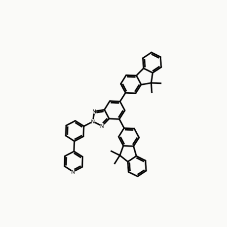 CC1(C)c2ccccc2-c2ccc(-c3cc(-c4ccc5c(c4)C(C)(C)c4ccccc4-5)c4nn(-c5cccc(-c6ccncc6)c5)nc4c3)cc21